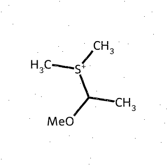 COC(C)[S+](C)C